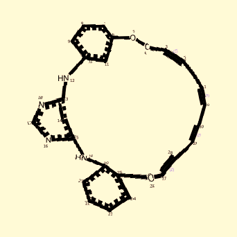 C1=C\C=C/COc2cccc(c2)Nc2cc(ncn2)Nc2ccccc2O/C=C\C=C/1